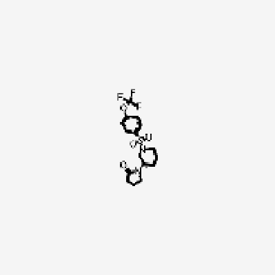 O=C1CCCN1[C@@H]1CCCN(S(=O)(=O)c2ccc(OC(F)(F)F)cc2)C1